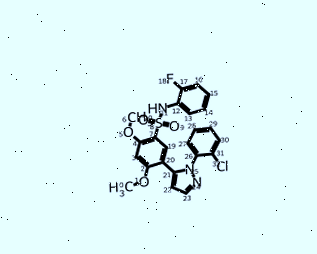 COc1cc(OC)c(S(=O)(=O)Nc2ccccc2F)cc1-c1ccnn1-c1ccccc1Cl